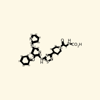 O=C(O)NCC(=O)N1CCC(c2nsc(Nc3ncc(Sc4ccccn4)cc3Oc3ccccc3)n2)CC1